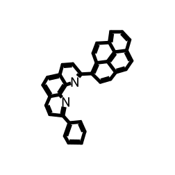 c1ccc(-c2ccc3ccc4ccc(-c5ccc6ccc7cccc8ccc5c6c78)nc4c3n2)cc1